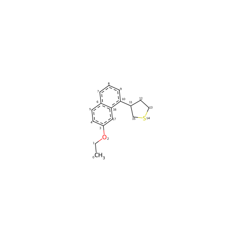 CCOc1ccc2cccc(C3CCSC3)c2c1